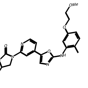 COCCOc1ccc(C)c(Nc2ncc(-c3ccnc(N4CC(C)NC4=O)c3)o2)c1